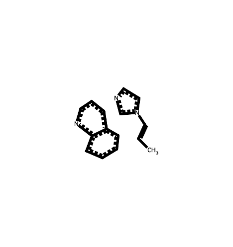 CC=Cn1ccnc1.c1ccc2ncccc2c1